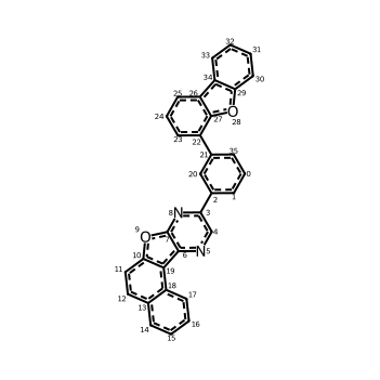 c1cc(-c2cnc3c(n2)oc2ccc4ccccc4c23)cc(-c2cccc3c2oc2ccccc23)c1